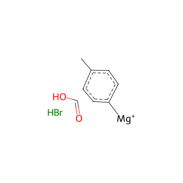 Br.Cc1cc[c]([Mg+])cc1.O=CO